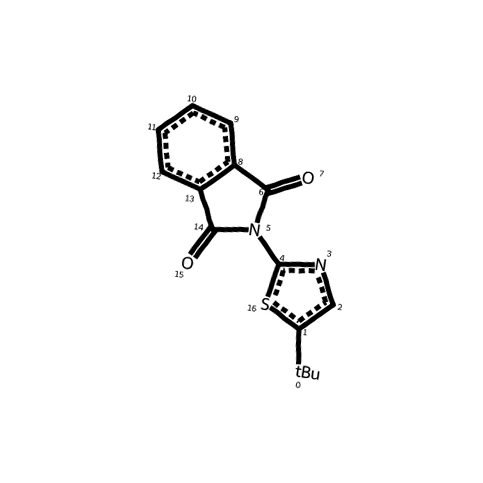 CC(C)(C)c1cnc(N2C(=O)c3ccccc3C2=O)s1